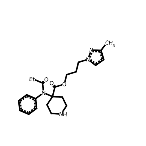 CCC(=O)N(c1ccccc1)C1(C(=O)OCCCn2ccc(C)n2)CCNCC1